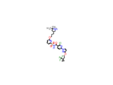 CC1(C)CC(CCCOc2cccc(S(=O)(=O)NC(=O)c3ccc(-n4ccc(OCCC5(C(F)(F)F)CC5)n4)nc3Cl)n2)CN1